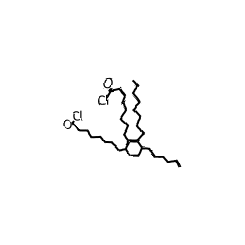 CCCCCCCCC1C(CCCCCC)CCC(CCCCCCCC(=O)Cl)C1CCCCCCCC(=O)Cl